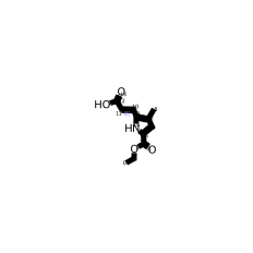 CCOC(=O)c1cc(C)c(/C=C/C(=O)O)[nH]1